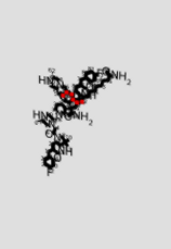 C[C@@H]1CN(CC(=O)N2CC(C)(C)c3[nH]c(=O)c(Cc4ccc(F)cc4)cc32)[C@@H](CN2CCC[C@@H](C(CCCCCCCCCCCC(N)=O)(C(N)=O)[C@@H]3CCCN(C[C@H]4CN[C@H](C)CN4CC(=O)N4CC(C)(C)c5[nH]c(=O)c(Cc6ccc(F)cc6)cc54)C3)C2)CN1